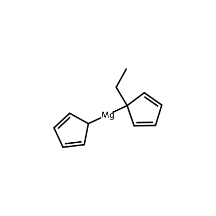 CC[C]1([Mg][CH]2C=CC=C2)C=CC=C1